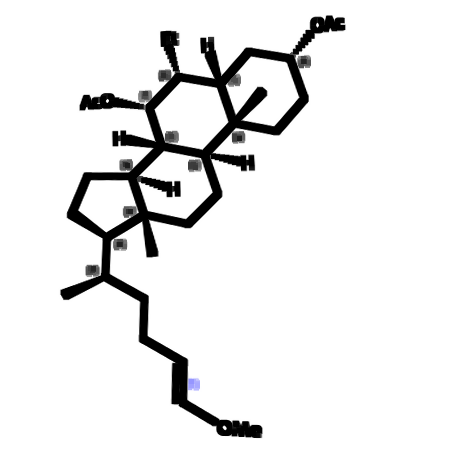 CC[C@H]1[C@@H](OC(C)=O)[C@@H]2[C@H](CC[C@]3(C)[C@@H]([C@H](C)CC/C=C/OC)CC[C@@H]23)[C@@]2(C)CC[C@@H](OC(C)=O)C[C@@H]12